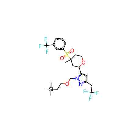 CC1(S(=O)(=O)c2cccc(C(F)(F)F)c2)CCOC(c2cc(CC(F)(F)F)nn2COCC[Si](C)(C)C)C1